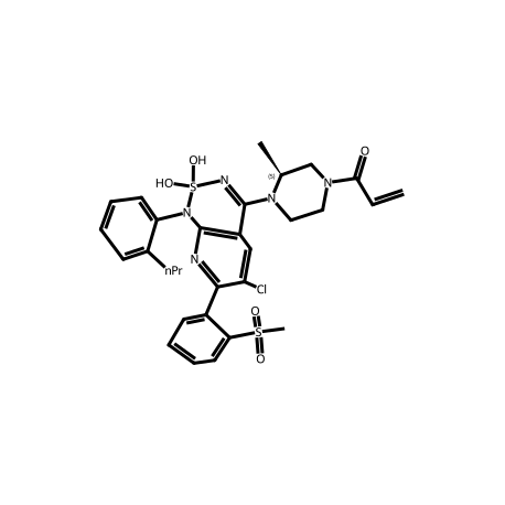 C=CC(=O)N1CCN(C2=NS(O)(O)N(c3ccccc3CCC)c3nc(-c4ccccc4S(C)(=O)=O)c(Cl)cc32)[C@@H](C)C1